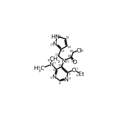 CCOc1ncnc(N(C)C)c1N(Cc1cc[nH]n1)C(=O)CCl